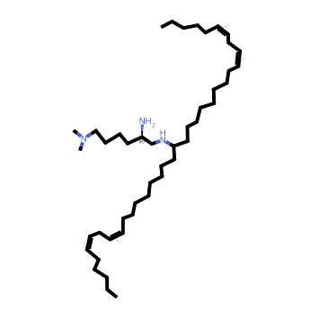 CCCCC/C=C\C/C=C\CCCCCCCCC(CCCCCCCC/C=C\C/C=C\CCCCC)NC[C@H](N)CCCCN(C)C